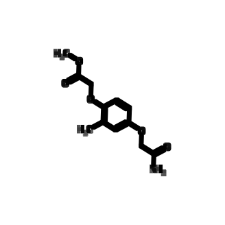 COC(=O)COc1ccc(OCC(N)=O)cc1C